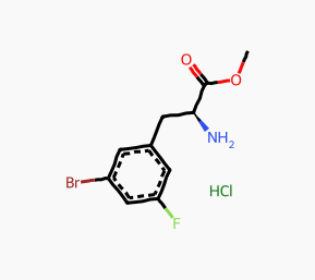 COC(=O)[C@@H](N)Cc1cc(F)cc(Br)c1.Cl